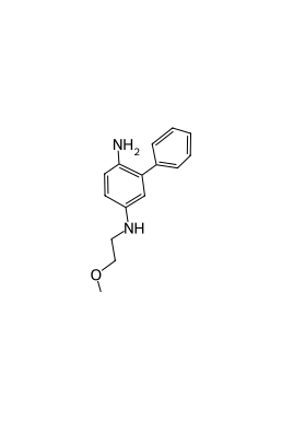 COCCNc1ccc(N)c(-c2ccccc2)c1